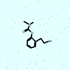 CC(=O)CCc1ccccc1OC(=O)N(C)C